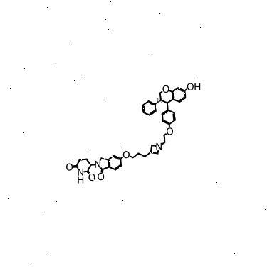 O=C1CCC(N2Cc3cc(OCCCC4CN(CCOc5ccc(C6c7ccc(O)cc7OC[C@@H]6c6ccccc6)cc5)C4)ccc3C2=O)C(=O)N1